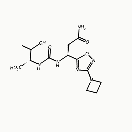 CC(O)[C@H](NC(=O)N[C@@H](CC(N)=O)c1nc(N2CCC2)no1)C(=O)O